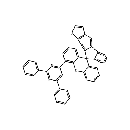 c1ccc(-c2cc(-c3cccc4c3Sc3ccccc3C43c4ccccc4-c4cc5ccoc5cc43)nc(-c3ccccc3)n2)cc1